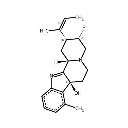 C/C=C(/C)[C@H]1C[C@H]2C3=Nc4cccc(C)c4[C@@]3(O)CCN2C[C@H]1CC